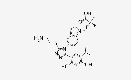 CC(C)c1cc(-c2nnc(SCCN)n2-c2ccc3c(ccn3C)c2)c(O)cc1O.O=C(O)C(F)(F)F